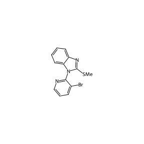 CSc1nc2ccccc2n1-c1ncccc1Br